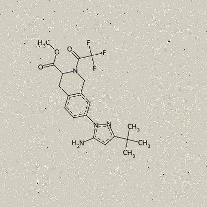 COC(=O)C1Cc2ccc(-n3nc(C(C)(C)C)cc3N)cc2CN1C(=O)C(F)(F)F